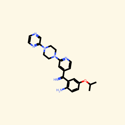 CC(C)Oc1ccc(N)c(C(=N)c2ccnc(N3CCN(c4cnccn4)CC3)c2)c1